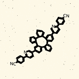 N#Cc1ccc(-c2ccc(-c3ccc4c5ccccc5c5ccc(-c6ccc(-c7ccc(C#N)cc7)nc6)cc5c5ccccc5c5ccccc5c4c3)cn2)cc1